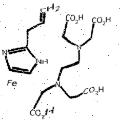 C=CCc1ncc[nH]1.O=C(O)CN(CCN(CC(=O)O)CC(=O)O)CC(=O)O.[Fe]